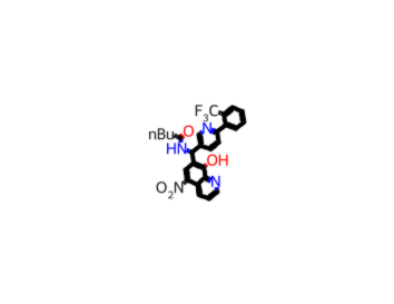 CCCCC(=O)NC(c1ccc(-c2ccccc2C(F)(F)F)nc1)c1cc([N+](=O)[O-])c2cccnc2c1O